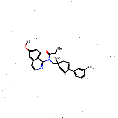 CCOc1ccc2c(N(CC3(OC)C=CC(c4cccc(C)c4)=CC3)C(=O)CC(C)(C)C)nccc2c1